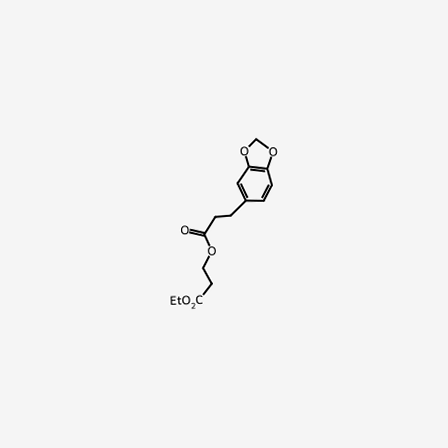 CCOC(=O)CCOC(=O)CCc1ccc2c(c1)OCO2